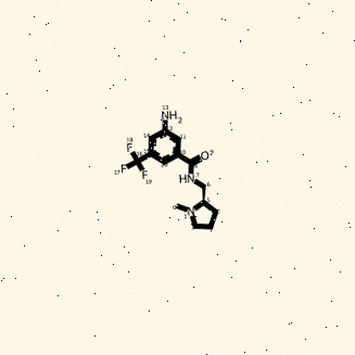 CN1CCC[C@@H]1CNC(=O)c1cc(N)cc(C(F)(F)F)c1